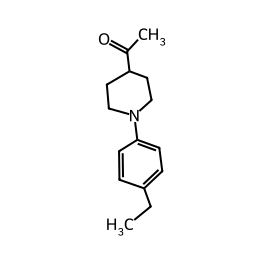 CCc1ccc(N2CCC(C(C)=O)CC2)cc1